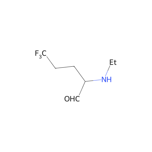 CCNC(C=O)CCC(F)(F)F